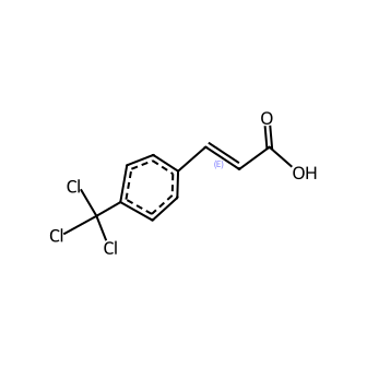 O=C(O)/C=C/c1ccc(C(Cl)(Cl)Cl)cc1